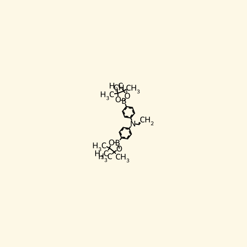 C=CN(c1ccc(B2OC(C)(C)C(C)(C)O2)cc1)c1ccc(B2OC(C)(C)C(C)(C)O2)cc1